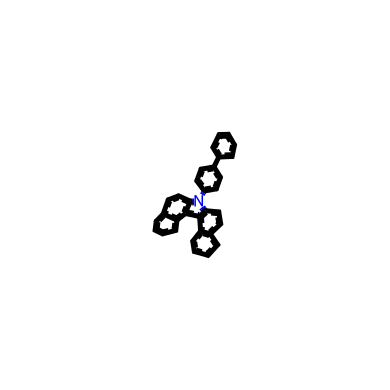 c1ccc(-c2ccc(-n3c4ccc5ccccc5c4c4c5ccccc5ccc43)cc2)cc1